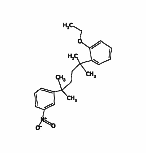 CCOc1ccccc1C(C)(C)CCC(C)(C)c1cccc([N+](=O)[O-])c1